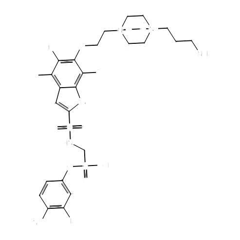 N#Cc1ccc(OP(=O)(O)CNS(=O)(=O)c2cc3c(F)c(F)c(OCC[N+]45CC[N+](CCCN)(CC4)CC5)c(F)c3s2)cc1F